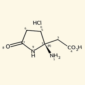 Cl.N[C@]1(CC(=O)O)CCC(=O)N1